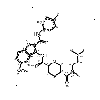 COc1ccc2oc(C(=O)Nc3ccc(C)cn3)c(NC(=O)[C@H]3CC[C@H](C(=O)N(C)CCN(C)C)CC3)c2n1